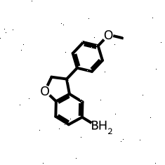 Bc1ccc2c(c1)C(c1ccc(OC)cc1)CO2